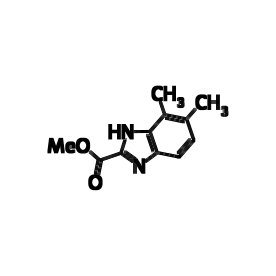 COC(=O)c1nc2ccc(C)c(C)c2[nH]1